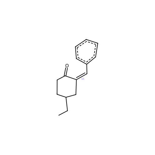 CCC1CCC(=O)/C(=C\c2ccccc2)C1